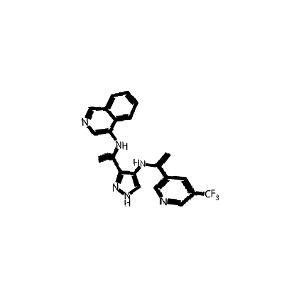 C=C(Nc1c[nH]nc1C(=C)Nc1cncc2ccccc12)c1cncc(C(F)(F)F)c1